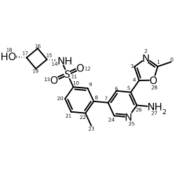 Cc1ncc(-c2cc(-c3cc(S(=O)(=O)N[C@H]4C[C@@H](O)C4)ccc3C)cnc2N)o1